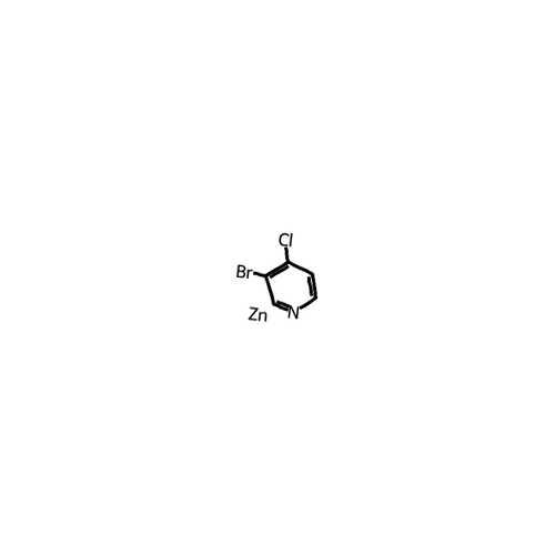 Clc1ccncc1Br.[Zn]